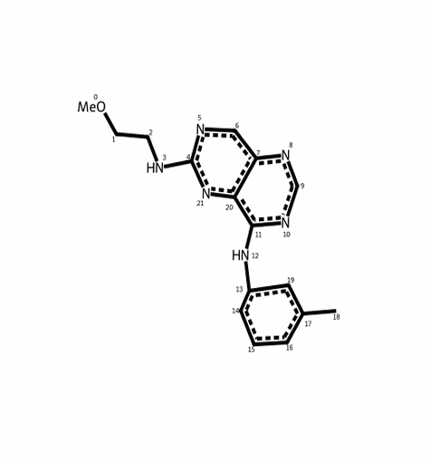 COCCNc1ncc2ncnc(Nc3cccc(C)c3)c2n1